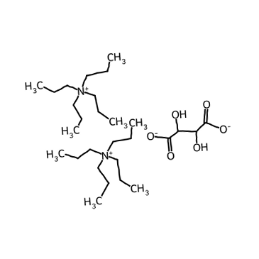 CCC[N+](CCC)(CCC)CCC.CCC[N+](CCC)(CCC)CCC.O=C([O-])C(O)C(O)C(=O)[O-]